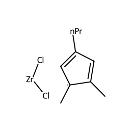 CCCC1=C[C](C)C(C)=C1.[Cl][Zr][Cl]